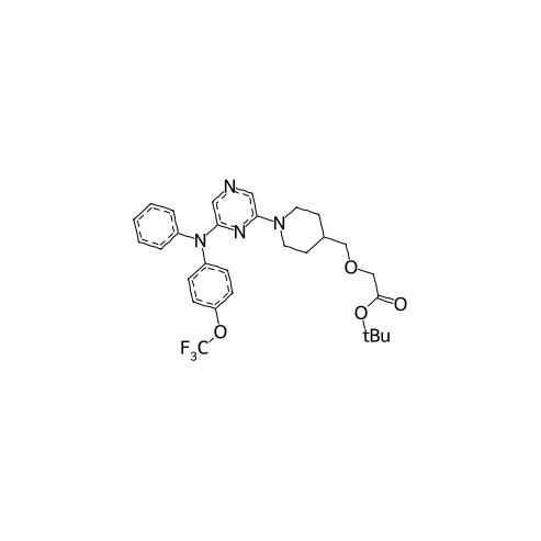 CC(C)(C)OC(=O)COCC1CCN(c2cncc(N(c3ccccc3)c3ccc(OC(F)(F)F)cc3)n2)CC1